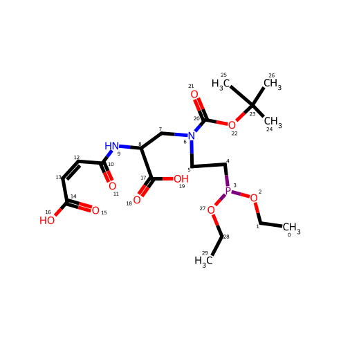 CCOP(CCN(CC(NC(=O)/C=C\C(=O)O)C(=O)O)C(=O)OC(C)(C)C)OCC